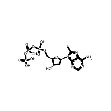 Nc1ncnc2c1nc(I)n2[C@H]1C[C@H](O)[C@@H](COP(=O)(O)OP(=O)(O)OP(=O)(O)O)O1